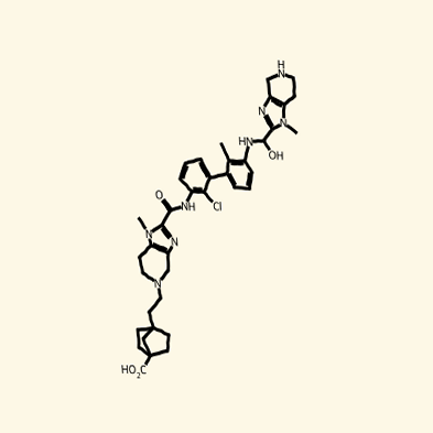 Cc1c(NC(O)c2nc3c(n2C)CCNC3)cccc1-c1cccc(NC(=O)c2nc3c(n2C)CCN(CCC24CCC(C(=O)O)(CC2)C4)C3)c1Cl